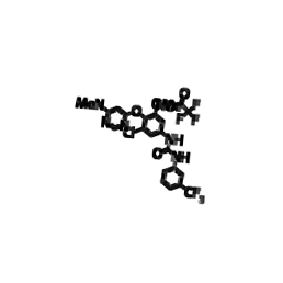 CNc1cc(Oc2c(Cl)cc(NC(=O)Nc3cccc(C(F)(F)F)c3)cc2OC)ncn1.O=C(O)C(F)(F)F